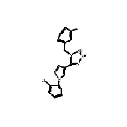 Cc1cccc(CN2NNN=C2c2cnn(-c3ccccc3Cl)c2)c1